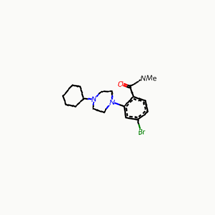 CNC(=O)c1ccc(Br)cc1N1CCN(C2CCCCC2)CC1